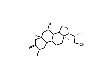 C[C@@H]1C[C@]2(C)C3CC[C@@]4(C)C(CC[C@@H]4[C@H](C)CO)C3[C@H](O)C[C@H]2CC1=O